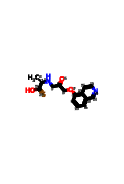 C[C@H](NCC(=O)COc1cccc2cnccc12)C(O)=S